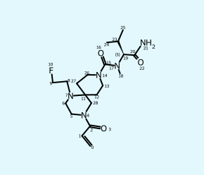 C=CC(=O)N1CCN(CCF)C2(CCN(C(=O)N(C)[C@H](C(N)=O)C(C)C)CC2)C1